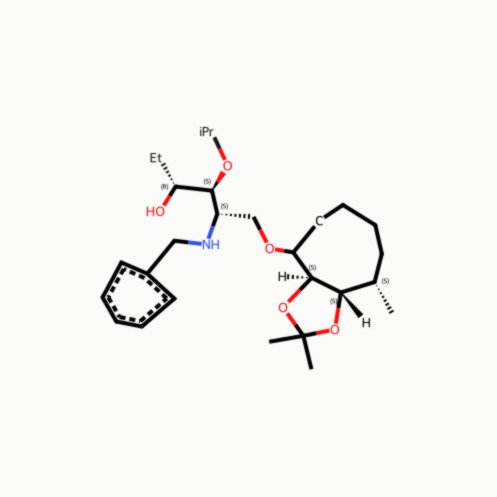 CC[C@@H](O)[C@@H](OC(C)C)[C@H](COC1CCCC[C@H](C)[C@@H]2OC(C)(C)O[C@@H]12)NCc1ccccc1